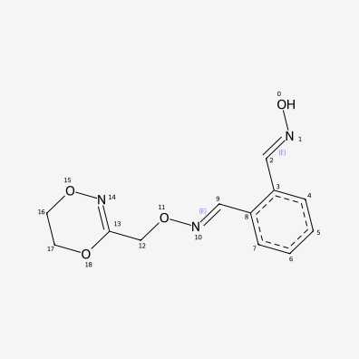 O/N=C/c1ccccc1/C=N/OCC1=NOCCO1